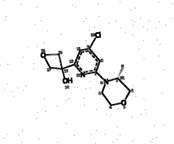 C[C@@H]1COCCN1c1cc(Cl)cc(C2(O)COC2)n1